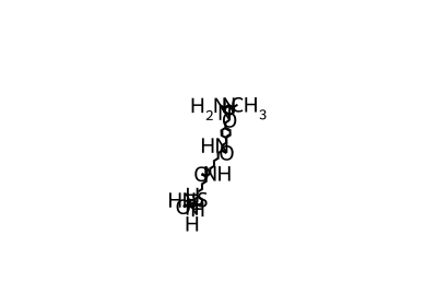 Cc1cc(OCc2ccc(CNC(=O)CCCCCNC(=O)CCCC[C@@H]3SC[C@@H]4NC(=O)N[C@@H]43)cc2)nc(N)n1